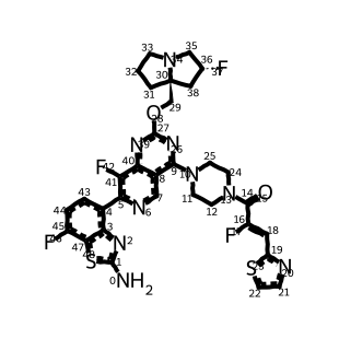 Nc1nc2c(-c3ncc4c(N5CCN(C(=O)/C(F)=C/c6nccs6)CC5)nc(OC[C@@]56CCCN5C[C@H](F)C6)nc4c3F)ccc(F)c2s1